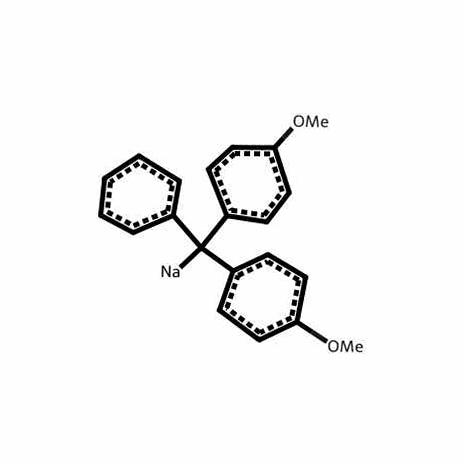 COc1ccc([C]([Na])(c2ccccc2)c2ccc(OC)cc2)cc1